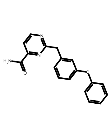 NC(=O)c1ccnc(Cc2cccc(Oc3ccccc3)c2)n1